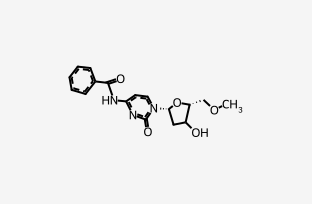 COC[C@H]1O[C@@H](n2ccc(NC(=O)c3ccccc3)nc2=O)CC1O